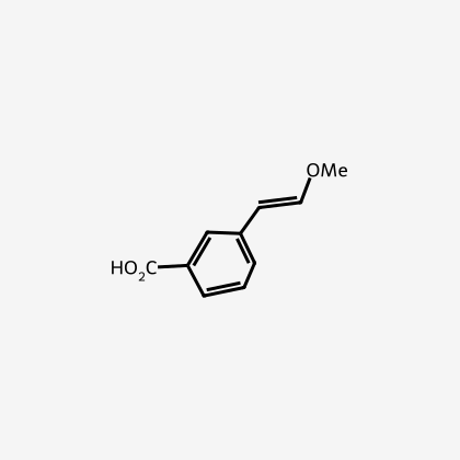 CO/C=C/c1cccc(C(=O)O)c1